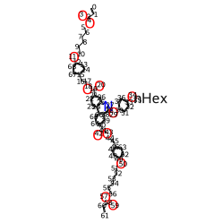 C=CC(=O)OCCCCCCOc1ccc(CCOC(=O)c2ccc3c(c2)nc(Oc2ccc(OCCCCCC)cc2)c2cc(C(=O)OCCc4ccc(OCCCCCCOC(=O)C=C)cc4)ccc23)cc1